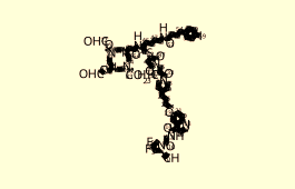 C#C[C@H]1CC(F)(F)CN1C(=O)CNC(=O)c1ccnc2ccc(OCCCCC3CCN(C(=O)[C@H](C)CN4C(=O)CC(SCC(CCCCNC(=O)CCCc5ccc(I)cc5)NC(=O)CN5CCN(COC=O)CCN(COC=O)CCN(CC(=O)O)CC5)C4=O)CC3)cc12